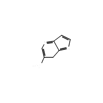 O=C(O)C1=CN=C2C=CN=C2C1